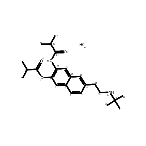 CC(C)C(=O)Oc1cc2ccc(CCNC(C)(C)C)cc2cc1OC(=O)C(C)C.Cl